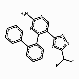 Nc1ncc(-c2nnc(C(F)F)o2)c(-c2ccccc2-c2ccccc2)n1